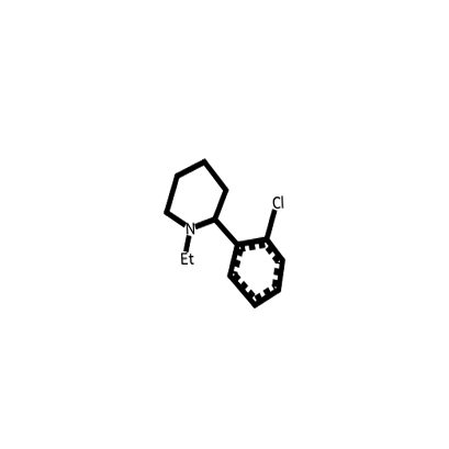 CCN1CCCCC1c1ccccc1Cl